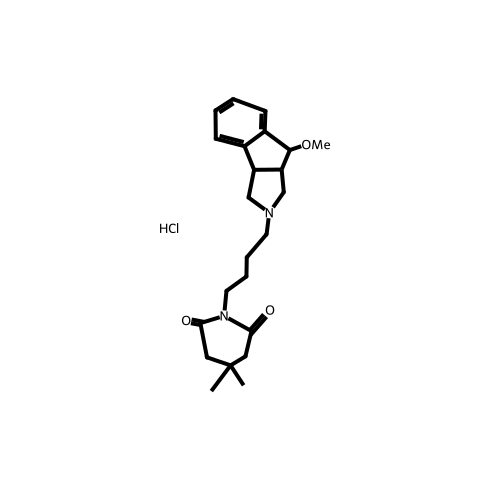 COC1c2ccccc2C2CN(CCCCN3C(=O)CC(C)(C)CC3=O)CC21.Cl